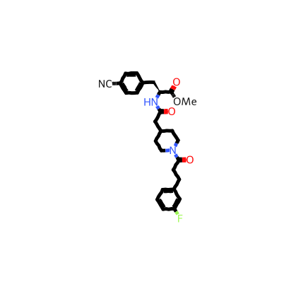 COC(=O)[C@H](Cc1ccc(C#N)cc1)NC(=O)CC1CCN(C(=O)CCc2cccc(F)c2)CC1